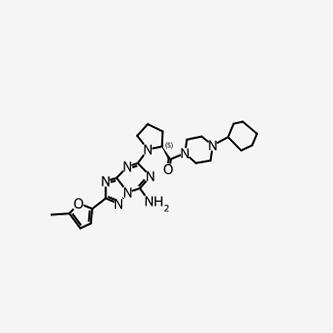 Cc1ccc(-c2nc3nc(N4CCC[C@H]4C(=O)N4CCN(C5CCCCC5)CC4)nc(N)n3n2)o1